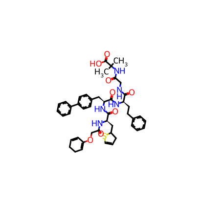 CC(C)(NC(=O)CNC(=O)[C@@H](CCc1ccccc1)NC(=O)[C@H](Cc1ccc(-c2ccccc2)cc1)NC(=O)[C@@H](CC1CC=CS1)NC(=O)COC1=CCCC=C1)C(=O)O